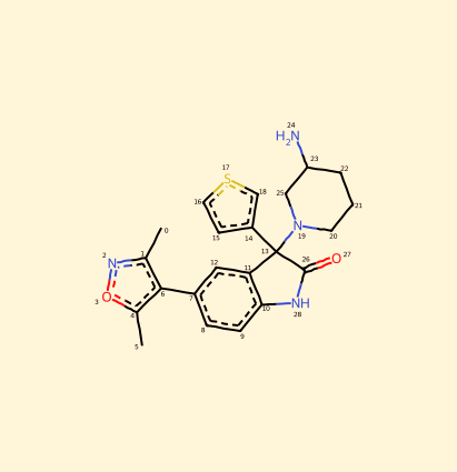 Cc1noc(C)c1-c1ccc2c(c1)C(c1ccsc1)(N1CCCC(N)C1)C(=O)N2